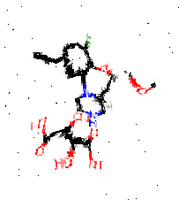 C#Cc1cc(F)c2c(c1)N1CCNC[C@H]1C[C@@H](COC)O2.O=C(O)C(O)C(O)C(=O)O